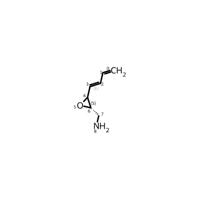 C=C/C=C/C1O[C@H]1CN